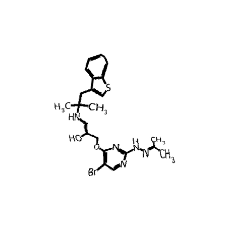 CC(C)=NNc1ncc(Br)c(OCC(O)CNC(C)(C)Cc2csc3ccccc23)n1